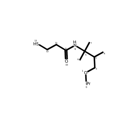 CC(C)OCC(C)C(C)(C)NC(=O)CCS